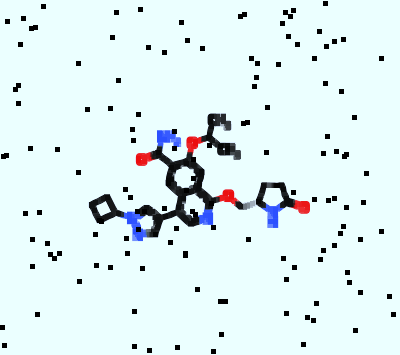 CC(C)Oc1cc2c(OC[C@@H]3CCC(=O)N3)ncc(-c3cnn(C4CCC4)c3)c2cc1C(N)=O